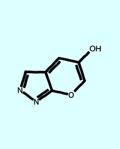 Oc1coc2nncc-2c1